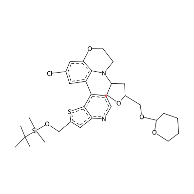 CC(C)(C)[Si](C)(C)OCc1cc2nccc(-c3cc(Cl)cc4c3N(C3COC(COC5CCCCO5)C3)CCO4)c2s1